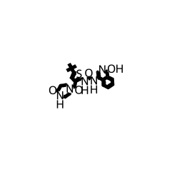 CC(C)(C)c1cc(C(=O)N2CCNC(=O)CC2)c(NC(=O)Nc2cnc(O)c3ccccc23)s1